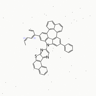 C=C/C(=C\C=C/C)c1cc2c3c4c(cc(-c5ccccc5)cc4n(-c4cnc5c(n4)sc4ccc6ccccc6c45)c3c1)-c1cccc3cccc-2c13